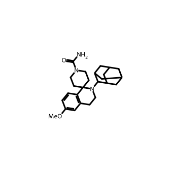 COc1ccc2c(c1)CCN(C1C3CC4CC(C3)CC1C4)C21CCN(C(N)=O)CC1